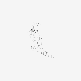 COC1C2[C@H]3CC[C@@H]4[C@H](CC[C@@]5(C)[C@H]4CC[C@]5(O)[C@H](C)Cn4cc(C#N)cn4)[C@H]3CC[C@]12O